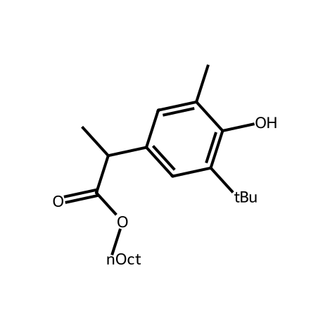 CCCCCCCCOC(=O)C(C)c1cc(C)c(O)c(C(C)(C)C)c1